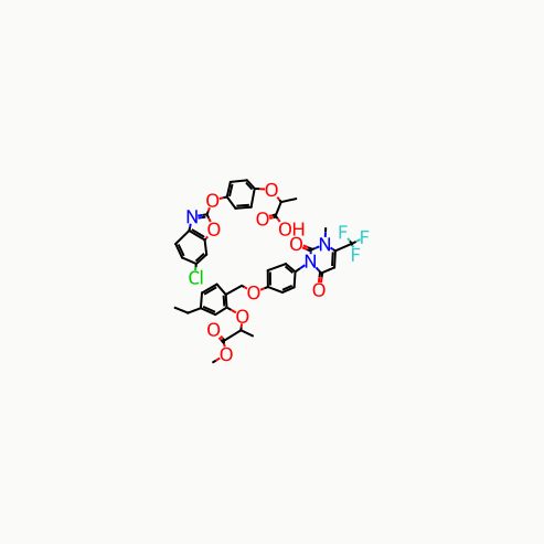 CC(Oc1ccc(Oc2nc3ccc(Cl)cc3o2)cc1)C(=O)O.CCc1ccc(COc2ccc(-n3c(=O)cc(C(F)(F)F)n(C)c3=O)cc2)c(OC(C)C(=O)OC)c1